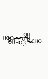 O=CCC(NC(=O)OCCCCON(O)O)C(=O)O